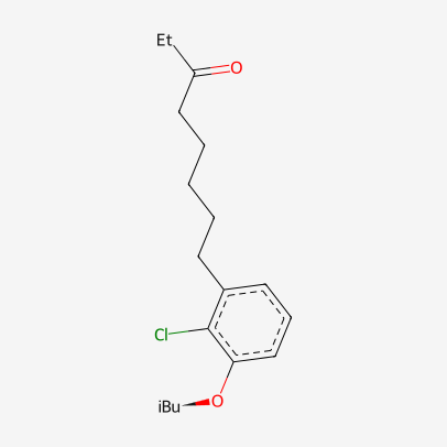 CCC(=O)CCCCCc1cccc(O[C@H](C)CC)c1Cl